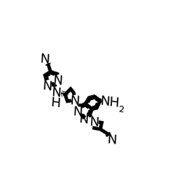 N#Cc1cnc(N[C@@H]2CCN(c3nnc(N4CC(C#N)C4)c4cc(N)ccc34)C2)nc1